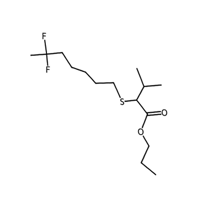 CCCOC(=O)C(SCCCCCC(C)(F)F)C(C)C